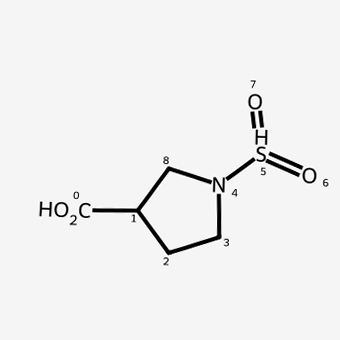 O=C(O)C1CCN([SH](=O)=O)C1